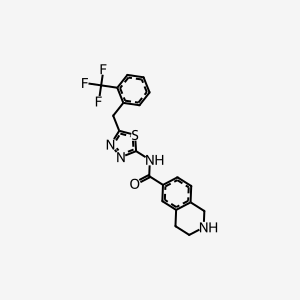 O=C(Nc1nnc(Cc2ccccc2C(F)(F)F)s1)c1ccc2c(c1)CCNC2